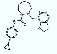 O=C(Nc1ccc(C2CC2)cc1)[C@H]1CCCCCN1Cc1nccc2c1OCO2